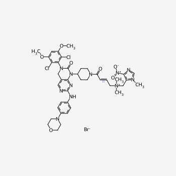 COc1cc(OC)c(Cl)c(N2Cc3cnc(Nc4ccc(N5CCOCC5)cc4)nc3N(C3CCN(C(=O)/C=C/C[N+](C)(C)Cc4c([N+](=O)[O-])ncn4C)CC3)C2=O)c1Cl.[Br-]